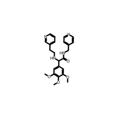 COc1cc(C(NCCc2cccnc2)C(=O)NCc2ccncc2)cc(OC)c1OC